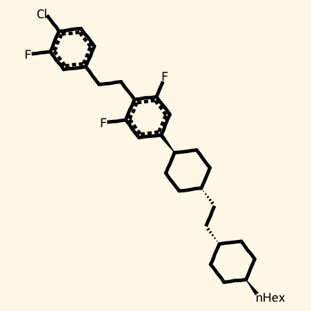 CCCCCC[C@H]1CC[C@H](CC[C@H]2CC[C@H](c3cc(F)c(CCc4ccc(Cl)c(F)c4)c(F)c3)CC2)CC1